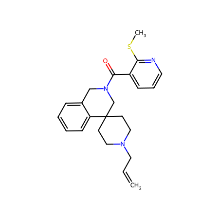 C=CCN1CCC2(CC1)CN(C(=O)c1cccnc1SC)Cc1ccccc12